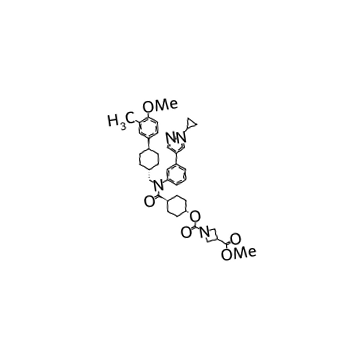 COC(=O)C1CN(C(=O)O[C@H]2CC[C@H](C(=O)N(C[C@H]3CC[C@H](c4ccc(OC)c(C)c4)CC3)c3cccc(-c4cnn(C5CC5)c4)c3)CC2)C1